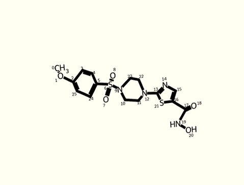 COc1ccc(S(=O)(=O)N2CCN(c3ncc(C(=O)NO)s3)CC2)cc1